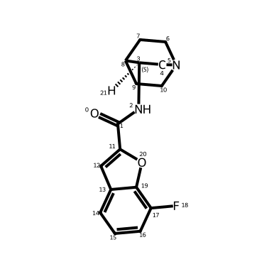 O=C(N[C@@H]1CN2CCC1CC2)c1cc2cccc(F)c2o1